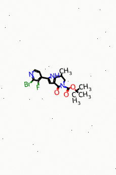 CC1CN(C(=O)OC(C)(C)C)C(=O)c2cc(-c3ccnc(Br)c3F)[nH]c21